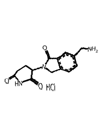 Cl.NCc1ccc2c(c1)C(=O)N(C1CCC(=O)NC1=O)C2